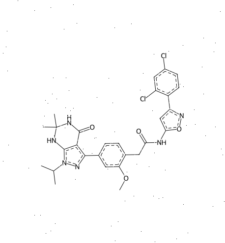 COc1cc(-c2nn(C(C)C)c3c2C(=O)NC(C)(C)N3)ccc1CC(=O)Nc1cc(-c2ccc(Cl)cc2Cl)no1